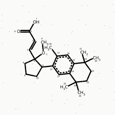 COC1(C=CC(=O)O)CCCC1c1cc2c(cc1C)C(C)(C)CCC2(C)C